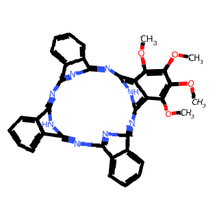 COc1c(OC)c(OC)c2c3nc4nc(nc5[nH]c(nc6nc(nc([nH]3)c2c1OC)-c1ccccc1-6)c1ccccc51)-c1ccccc1-4